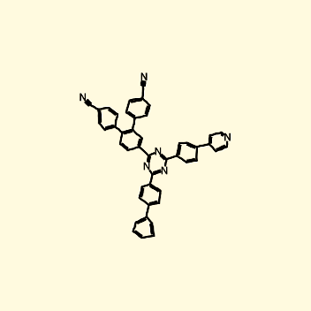 N#Cc1ccc(-c2ccc(-c3nc(-c4ccc(-c5ccccc5)cc4)nc(-c4ccc(-c5ccncc5)cc4)n3)cc2-c2ccc(C#N)cc2)cc1